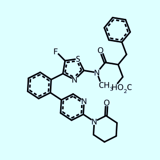 CN(C(=O)C(CC(=O)O)Cc1ccccc1)c1nc(-c2ccccc2-c2ccc(N3CCCCC3=O)nc2)c(F)s1